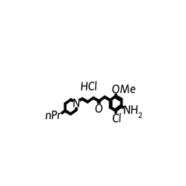 CCCC1CCN(CCCC(=O)Cc2cc(Cl)c(N)cc2OC)CC1.Cl